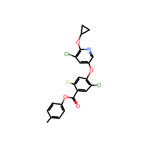 Cc1ccc(OC(=O)c2cc(Cl)c(Oc3cnc(OC4CC4)c(Cl)c3)cc2F)cc1